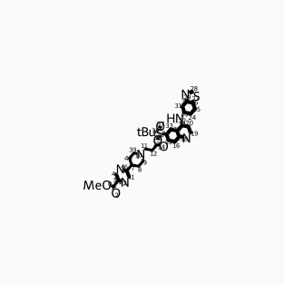 COC(=O)c1cnc(C2CCN(CCCOc3cc4nccc(Nc5ccc6scnc6c5)c4cc3S(=O)(=O)C(C)(C)C)CC2)cn1